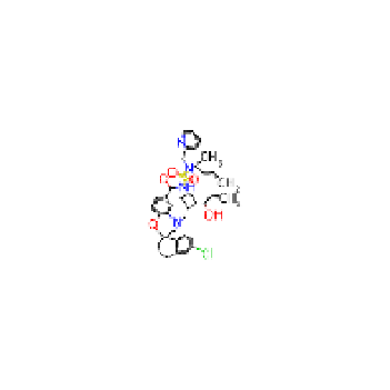 C=CCC(C)N(Cc1ccccn1)S(=O)(=O)NC(=O)c1ccc2c(c1)N(C[C@@H]1CC[C@H]1C(O)C=C)C[C@@]1(CCCc3cc(Cl)ccc31)CO2